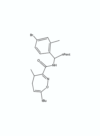 CCCCCC(NC(=O)C1=NOC(C(C)(C)C)=CCC1C)c1ccc(Br)cc1C